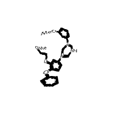 COCCOc1cc(N2CNCN(c3cccc(OC)c3)C2)ccc1Oc1ccccc1